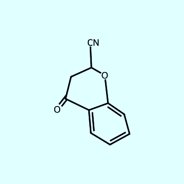 N#CC1CC(=O)c2ccccc2O1